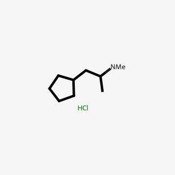 CNC(C)CC1CCCC1.Cl